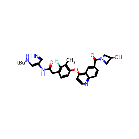 Cc1c(Oc2ccnc3ccc(C(=O)N4CC(O)C4)cc23)ccc(CC(=O)N/C(C=N)=C/NC(C)(C)C)c1F